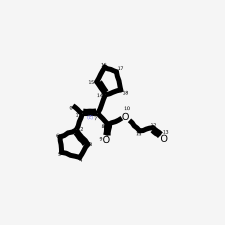 C/C(C1=CCCC1)=C(/C(=O)OCC=O)C1=CCCC1